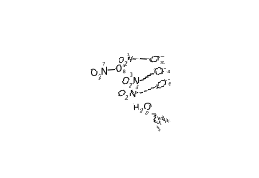 O.O=[N+]([O-])[O-].O=[N+]([O-])[O-].O=[N+]([O-])[O-].O=[N+]([O-])[O-].[Zr+4]